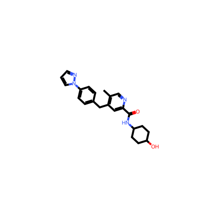 Cc1cnc(C(=O)NC2CCC(O)CC2)cc1Cc1ccc(-n2cccn2)cc1